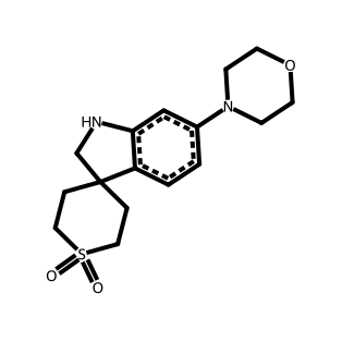 O=S1(=O)CCC2(CC1)CNc1cc(N3CCOCC3)ccc12